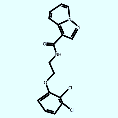 O=C(NCCOc1cccc(Cl)c1Cl)c1cnn2ccccc12